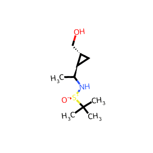 CC(N[S@+]([O-])C(C)(C)C)[C@@H]1C[C@H]1CO